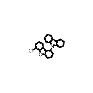 Clc1cccc2c1oc1cccc(-n3c4ccccc4c4ccccc43)c12